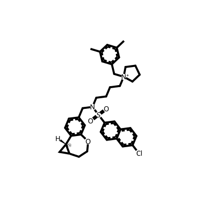 Cc1cc(C)cc(C[N+]2(CCCCN(Cc3ccc4c(c3)OCCC3C[C@H]43)S(=O)(=O)c3ccc4cc(Cl)ccc4c3)CCCC2)c1